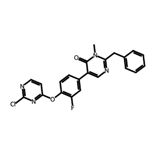 Cn1c(Cc2ccccc2)ncc(-c2ccc(Oc3ccnc(Cl)n3)c(F)c2)c1=O